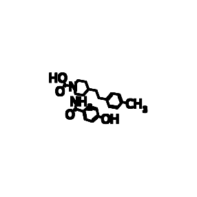 Cc1ccc(CCC2CCN(C(=O)O)CC2)cc1.NC(=O)c1ccc(O)cc1